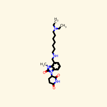 CCN(CC)CCCCCCCNCc1cccc2c1n(C)c(=O)n2C1CCC(=O)NC1=O